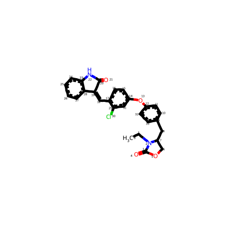 CCN1C(=O)OCC1Cc1ccc(Oc2ccc(/C=C3\C(=O)Nc4ccccc43)c(Cl)c2)cc1